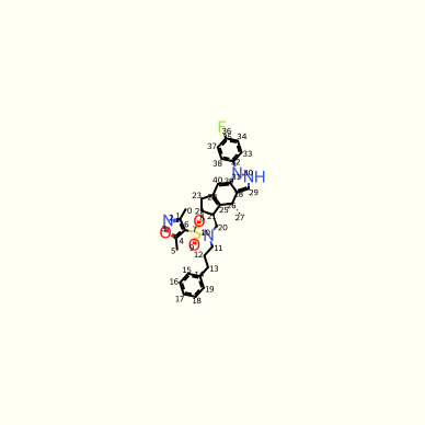 Cc1noc(C)c1S(=O)(=O)N(CCCc1ccccc1)C[C@H]1CCC2=C1[C@@H](C)C1=CNN(c3ccc(F)cc3)C1=C2